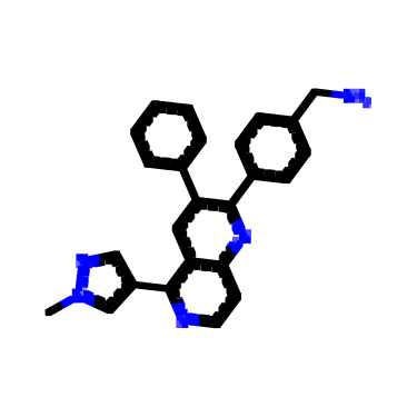 Cn1cc(-c2nccc3nc(-c4ccc(CN)cc4)c(-c4ccccc4)cc23)cn1